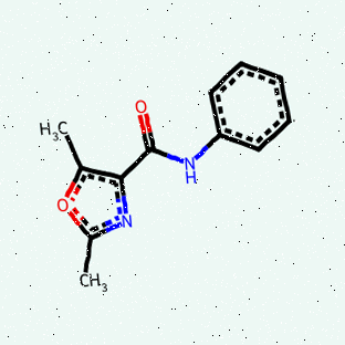 Cc1nc(C(=O)Nc2c[c]ccc2)c(C)o1